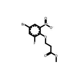 COC(=O)CCOc1c(F)cc(Br)cc1[N+](=O)[O-]